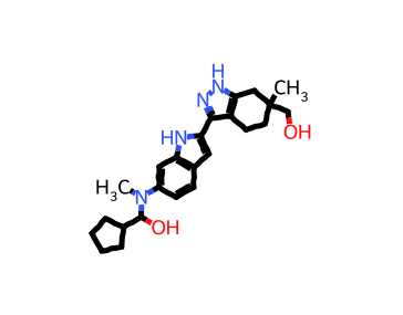 CN(c1ccc2cc(-c3n[nH]c4c3CCC(C)(CO)C4)[nH]c2c1)C(O)C1CCCC1